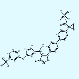 Cc1noc(-c2ccc(-c3ccc(C4(C(=O)NS(C)(=O)=O)CC4)cc3)cc2)c1C(O)c1cn(Cc2cccc(C(F)(F)F)c2)nn1